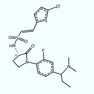 CCC(c1ccc(N2CC[C@H](NS(=O)(=O)C=Cc3ccc(Cl)s3)C2=O)c(F)c1)N(C)C